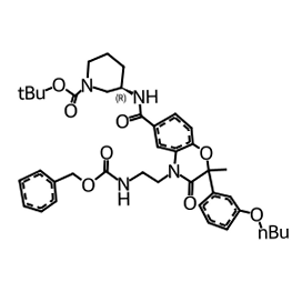 CCCCOc1cccc(C2(C)Oc3ccc(C(=O)N[C@@H]4CCCN(C(=O)OC(C)(C)C)C4)cc3N(CCNC(=O)OCc3ccccc3)C2=O)c1